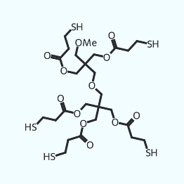 COCC(COCC(COC(=O)CCS)(COC(=O)CCS)COC(=O)CCS)(COC(=O)CCS)COC(=O)CCS